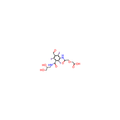 O=Cc1c(I)c(NC(=O)COCC(=O)O)c(I)c(C(=O)NCC(O)CO)c1I